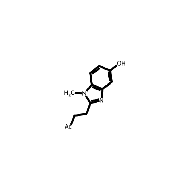 CC(=O)CCc1nc2cc(O)ccc2n1C